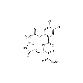 CNC(=O)C(=O)[C@H](C[C@@H]1C[C@@H](C)NC1=O)NC(=O)c1cc(Cl)c(Cl)cc1NC(=O)OC